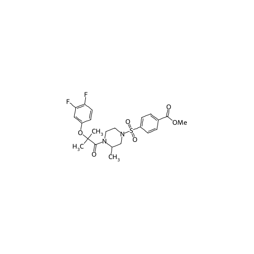 COC(=O)c1ccc(S(=O)(=O)N2CCN(C(=O)C(C)(C)Oc3ccc(F)c(F)c3)C(C)C2)cc1